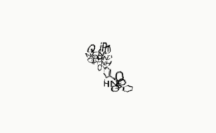 CC(C)C(NC(=O)[C@@H]1CCCN1C(=O)[C@@H](NC(=O)c1ccc(C(=O)NS(=O)(=O)c2ccccc2)cc1)C(C)C)C(=O)c1nc2ccccc2o1